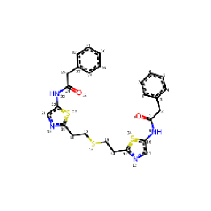 O=C(Cc1ccccc1)Nc1cnc(CCSCCc2ncc(NC(=O)Cc3ccccc3)s2)s1